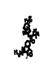 Cc1nn(C)cc1N(Cc1cn2cc(C(F)(F)F)ccc2n1)C(=O)c1ccc2nc(N)c3c(c2c1)CO[C@@H]3C